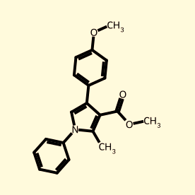 COC(=O)c1c(-c2ccc(OC)cc2)cn(-c2ccccc2)c1C